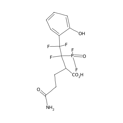 NC(=O)CCC(C(=O)O)C(F)(C(F)(F)c1ccccc1O)P(=O)(F)F